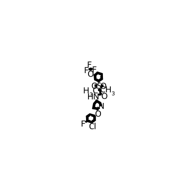 CC(C)(C(=O)Nc1ccc(Oc2ccc(F)c(Cl)c2)nc1)S(=O)(=O)c1cccc(OC(F)(F)F)c1